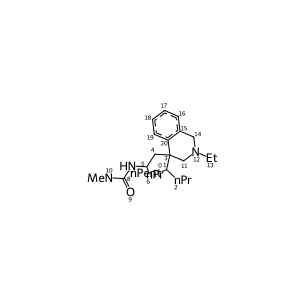 CCCCCC(CCC)C1(CC(CCC)NC(=O)NC)CN(CC)Cc2ccccc21